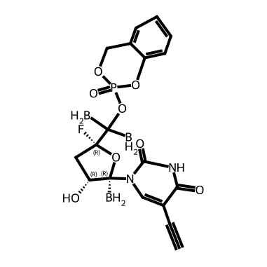 BC(B)(OP1(=O)OCc2ccccc2O1)[C@]1(F)C[C@@H](O)[C@](B)(n2cc(C#C)c(=O)[nH]c2=O)O1